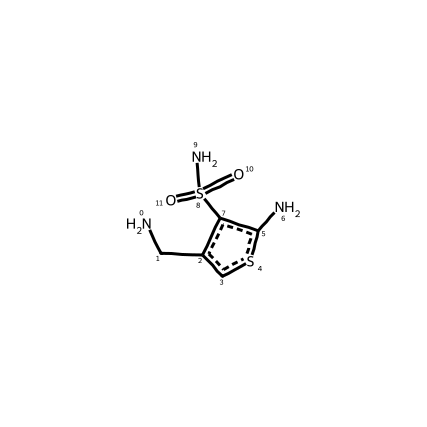 NCc1csc(N)c1S(N)(=O)=O